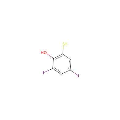 Oc1c(S)cc(I)cc1I